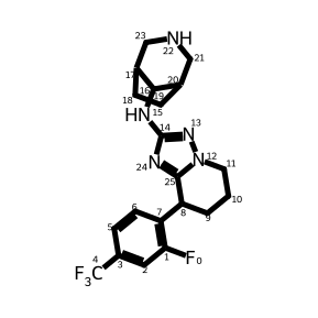 Fc1cc(C(F)(F)F)ccc1C1CCCn2nc(NC3C4CCC3CNC4)nc21